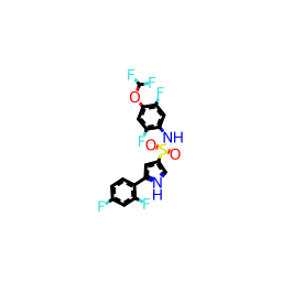 O=S(=O)(Nc1cc(F)c(OC(F)F)cc1F)c1c[nH]c(-c2ccc(F)cc2F)c1